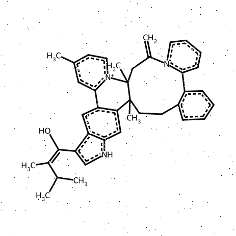 C=C1CC2(C)[n+]3ccc(C)cc3-c3cc4c(/C(O)=C(/C)C(C)C)c[nH]c4cc3C2(C)CCc2ccccc2-c2cccc[n+]21